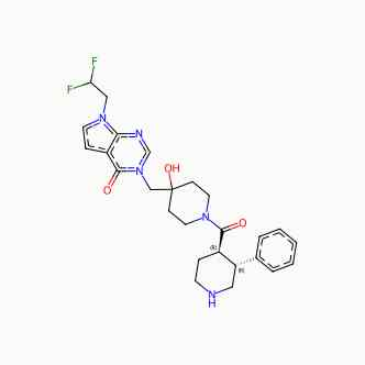 O=C([C@@H]1CCNC[C@H]1c1ccccc1)N1CCC(O)(Cn2cnc3c(ccn3CC(F)F)c2=O)CC1